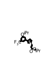 CC(C)OC(=O)C=Cn1ccc(-c2cc(OC(C)C)cc(C(F)(F)F)c2)c1